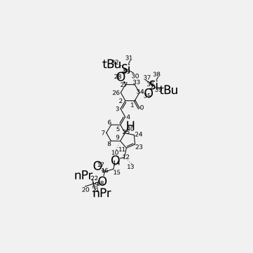 C=C1C(=CC=C2CCC[C@]3(C)C([C@H](C)OCC(=O)OC(C)(CCC)CCC)=CC[C@@H]23)C[C@@H](O[Si](C)(C)C(C)(C)C)C[C@@H]1O[Si](C)(C)C(C)(C)C